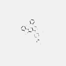 C=CC(=O)N1CCN(c2nc(=O)n(-c3ccccc3CCC)c3nc(-c4ccccc4Cl)c(Cl)cc23)[C@@H](C)C1